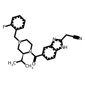 CC(C)[C@H]1CN(Cc2ccccc2F)CCN1C(=O)c1ccc2[nH]c(CC#N)nc2c1